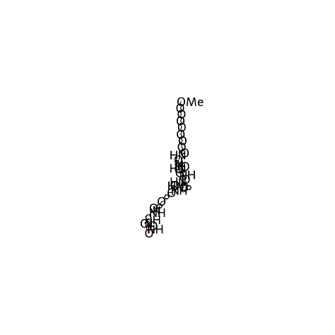 COCCOCCOCCOCCOCCOCCOCCOCCC(=O)NCCC[C@H](C(=O)NCC(=O)NCC(=O)N[C@@H](Cc1ccccc1)C(=O)NCC(=O)NCOCc1ccc(COc2ccc(NC(=O)NCc3ccc4c(c3)CN(C3CCC(=O)NC3=O)C4=O)cc2)cc1)N1C(=O)C=CC1=O